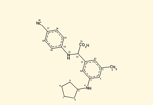 Cc1cc(NC2CCCC2)cc(C(Nc2ccc(C#N)cc2)C(=O)O)c1